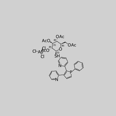 CC(=O)OC[C@H]1O[C@@H](S)[C@H](OC(C)=O)[C@@H](OC(C)=O)[C@@H]1OC(C)=O.[Cl][Au]([Cl])[Cl].c1ccc(-p2ccc(-c3ccccn3)c2-c2ccccn2)cc1